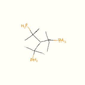 CC(C)(P)C(C(C)(C)P)C(C)(C)P